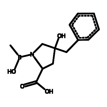 CB(O)N1CC(O)(Cc2ccccc2)CC1C(=O)O